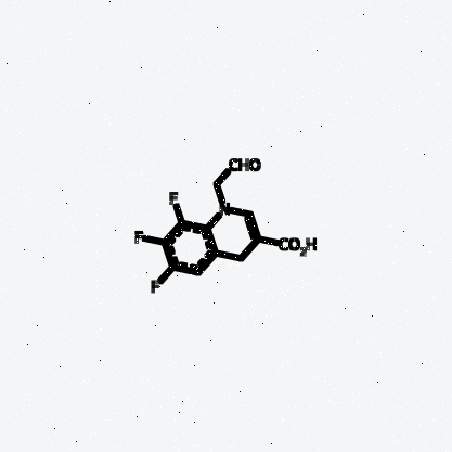 O=CCN1C=C(C(=O)O)Cc2cc(F)c(F)c(F)c21